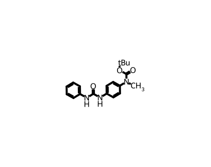 CN(C(=O)OC(C)(C)C)c1ccc(NC(=O)Nc2ccccc2)cc1